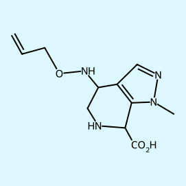 C=CCONC1CNC(C(=O)O)c2c1cnn2C